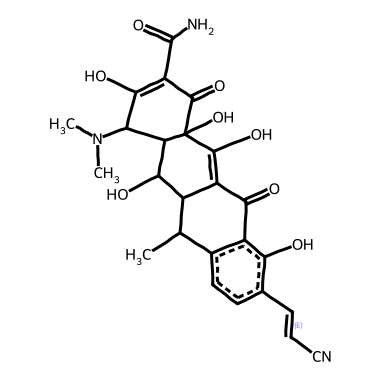 CC1c2ccc(/C=C/C#N)c(O)c2C(=O)C2=C(O)C3(O)C(=O)C(C(N)=O)=C(O)C(N(C)C)C3C(O)C21